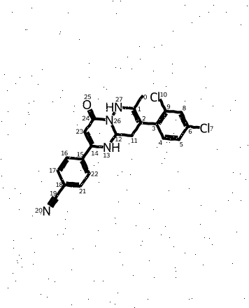 CC1=C(c2ccc(Cl)cc2Cl)CC2NC(c3ccc(C#N)cc3)=CC(=O)N2N1